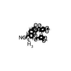 CC1=CC(OC(=O)c2ccc3c(c2)OCO3)[C@H]2[C@@H](CCC3=CC(=O)N(C(=O)c4ccc5c(c4)OCO5)CC[C@@]32C)[C@@H]1CCC#N